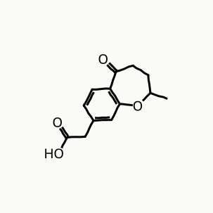 CC1CCC(=O)c2ccc(CC(=O)O)cc2O1